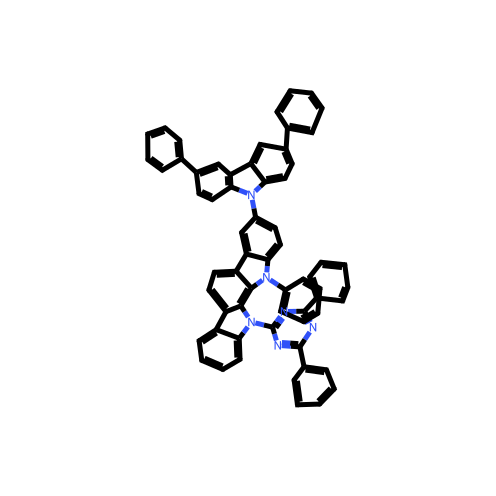 c1ccc(-c2ccc3c(c2)c2cc(-c4ccccc4)ccc2n3-c2ccc3c(c2)c2ccc4c5ccccc5n(-c5nc(-c6ccccc6)nc(-c6ccccc6)n5)c4c2n3-c2ccccc2)cc1